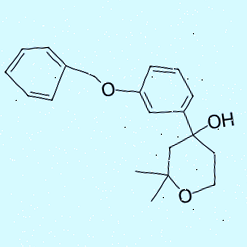 CC1(C)CC(O)(c2cccc(OCc3ccccc3)c2)CCO1